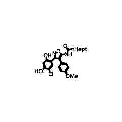 CCCCCCCC(=O)Nc1onc(-c2cc(Cl)c(O)cc2O)c1-c1ccc(OC)cc1